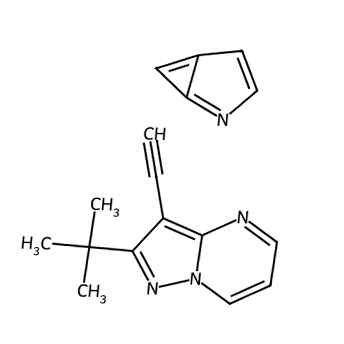 C#Cc1c(C(C)(C)C)nn2cccnc12.c1cc2cc-2n1